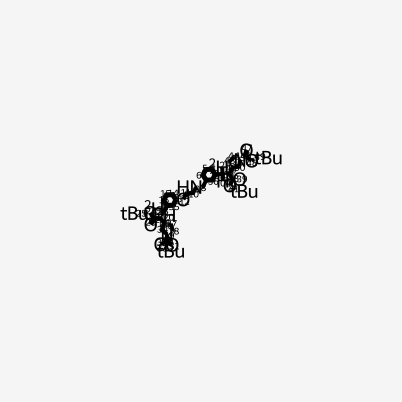 [2H]C([2H])(c1cccc(CNCCOc2cccc(C([2H])([2H])[C@H](C(=O)OC(C)(C)C)[C@H]3CCN(C(=O)OC(C)(C)C)C3)c2)c1)[C@H](C(=O)OC(C)(C)C)[C@H]1CCN(C(=O)OC(C)(C)C)C1